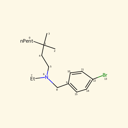 CCCCCC(C)(C)CCN(CC)Cc1ccc(Br)cc1